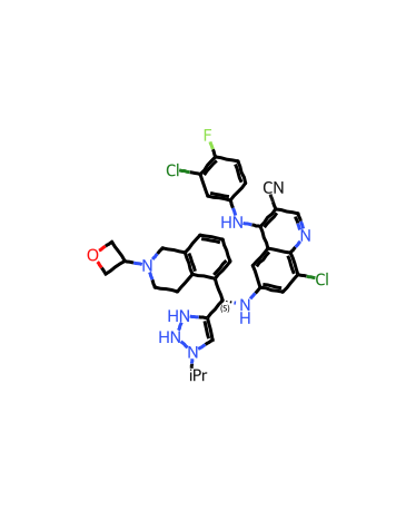 CC(C)N1C=C([C@@H](Nc2cc(Cl)c3ncc(C#N)c(Nc4ccc(F)c(Cl)c4)c3c2)c2cccc3c2CCN(C2COC2)C3)NN1